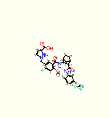 COc1cc(F)c(CN2C=CC(C(=O)O)N2)cc1C(=O)NC1C2CCC(C2)C1C(=O)Nc1cccc(SC(F)(F)F)c1